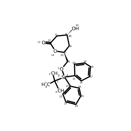 CC(C)(C)[Si](OC[C@@H]1C[C@@H](O)CC(=O)O1)(c1ccccc1)c1ccccc1